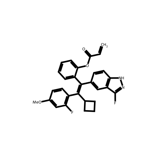 C=CC(=O)Oc1ccccc1/C(=C(\c1ccc(OC)cc1F)C1CCC1)c1ccc2[nH]nc(F)c2c1